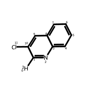 [2H]c1nc2ccccc2cc1Cl